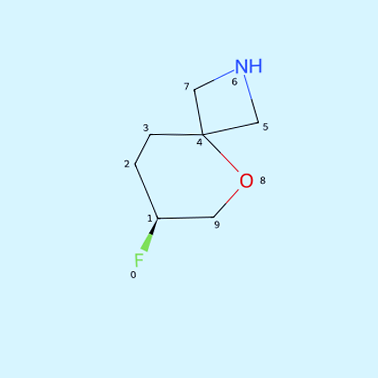 F[C@H]1CCC2(CNC2)OC1